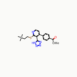 COC(=O)c1ccc(-c2ccnc(SCC[Si](C)(C)C)c2-c2nnn[nH]2)cc1